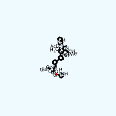 CCn1c(-c2cc(N3CCN4CCC[C@@H]4C3)cnc2[C@H](C)OC)c(CC(C)(C)COC(C)=O)c2cc(-c3cccc(C[C@H](NC(=O)OC(C)(C)C)C(=O)OC(=O)C4CCCNN4)c3)ccc21